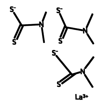 CN(C)C(=S)[S-].CN(C)C(=S)[S-].CN(C)C(=S)[S-].[La+3]